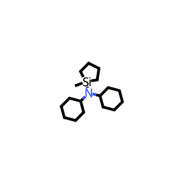 C[Si]1(N(C2CCCCC2)C2CCCCC2)CCCC1